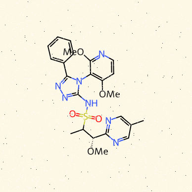 COc1ccnc(OC)c1-n1c(NS(=O)(=O)C(C)[C@@H](OC)c2ncc(C)cn2)nnc1-c1ccccc1